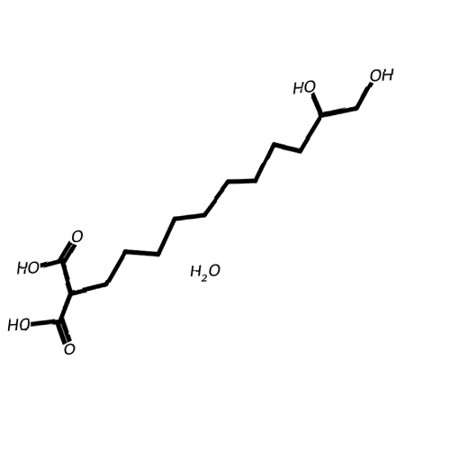 O.O=C(O)C(CCCCCCCCCC(O)CO)C(=O)O